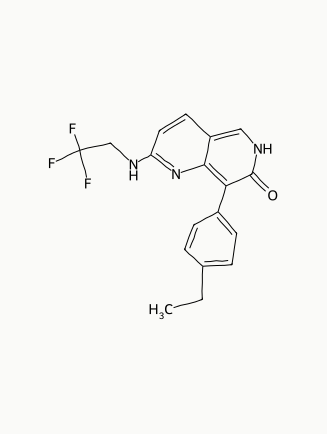 CCc1ccc(-c2c(=O)[nH]cc3ccc(NCC(F)(F)F)nc23)cc1